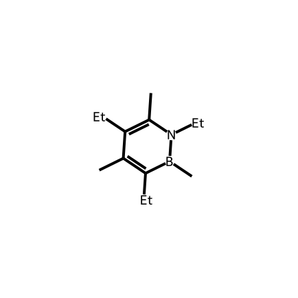 CCC1=C(C)C(CC)=C(C)N(CC)B1C